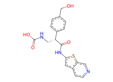 O=C(O)NC[C@@H](C(=O)Nc1cc2ccncc2s1)c1ccc(CO)cc1